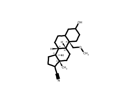 COC[C@]12CCC(O)CC1CC[C@@H]1[C@H]2CC[C@]2(C)C(C#N)CC[C@@H]12